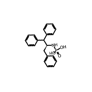 O=P(O)(O)N[C@@H](Cc1ccccc1)C(c1ccccc1)c1ccccc1